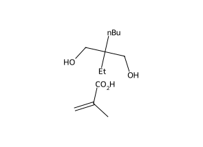 C=C(C)C(=O)O.CCCCC(CC)(CO)CO